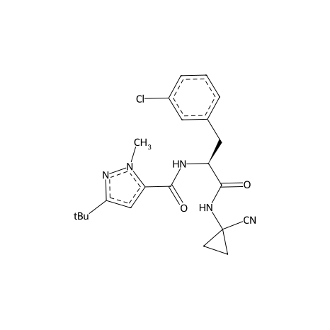 Cn1nc(C(C)(C)C)cc1C(=O)N[C@@H](Cc1cccc(Cl)c1)C(=O)NC1(C#N)CC1